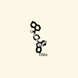 COc1ccc(CC(c2cnc[nH]2)N2CCN(C(=O)c3cccc4ccccc34)CC2)cc1